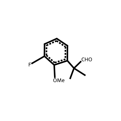 COc1c(F)cccc1C(C)(C)C=O